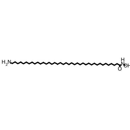 NCCCCCCCCCCCCCCCCCCCCCCCCCCCCCCCCCCCCCCC(=O)NO